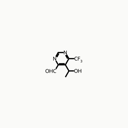 CC(O)c1c(C=O)ncnc1C(F)(F)F